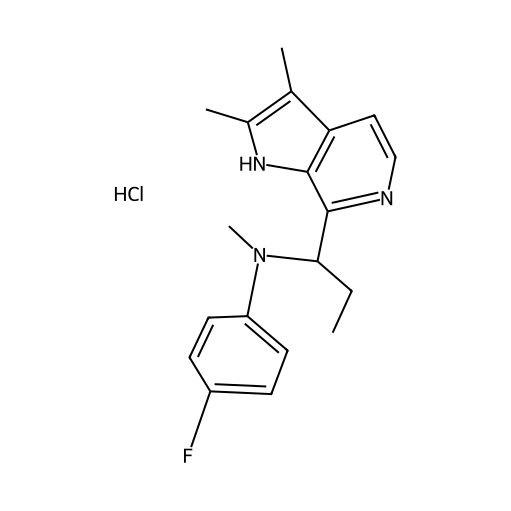 CCC(c1nccc2c(C)c(C)[nH]c12)N(C)c1ccc(F)cc1.Cl